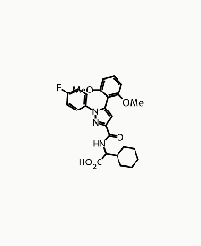 COc1cccc(OC)c1-c1cc(C(=O)NC(C(=O)O)C2CCCCC2)nn1-c1ccc(F)cc1